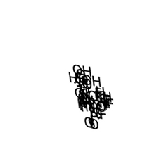 Cc1cc(CC(=O)O)cc(OP(=O)(O)O)c1C(C)(C)CC(=O)N(Cc1nn(CC(F)(F)F)c2c(-c3ccc(C#CC(C)(C)S(C)(=O)=O)nc3C(Cc3cc(F)ccc3F)NC(=O)Cn3nc(C(F)(F)F)c4c3C(F)(F)[C@@H]3C[C@H]43)ccc(Cl)c12)[SH](=O)=O